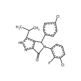 CC(C)c1[nH]nc2c1C(c1ccc(Cl)cc1)N(c1cccc(Cl)c1F)C2=O